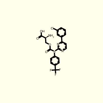 N[C@@H](COC(=O)N(c1ccc(C(F)(F)F)cc1)c1nccc(-c2cccc(Cl)c2)n1)C(=O)O